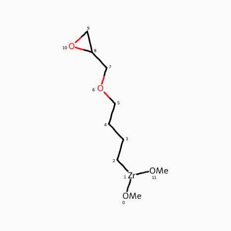 C[O][Zr]([CH2]CCCOCC1CO1)[O]C